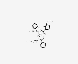 CCCNCCNC(Cn1c(=O)c(-c2cccc(OC)c2F)c(C)n(Cc2c(F)cccc2S(C)(=O)=O)c1=O)c1ccccc1